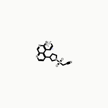 C/C=C\c1c(C)ncc2nccc(C3CCN(S(=O)(=O)CC#N)C3)c12